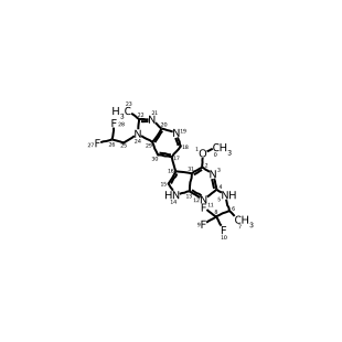 COc1nc(NC(C)C(F)(F)F)nc2[nH]cc(-c3cnc4nc(C)n(CC(F)F)c4c3)c12